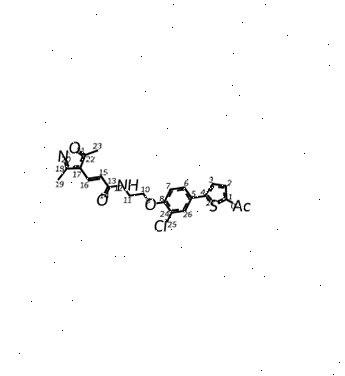 CC(=O)c1ccc(-c2ccc(OCCNC(=O)C=Cc3c(C)noc3C)c(Cl)c2)s1